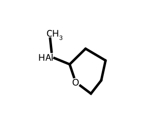 [CH3][AlH][CH]1CCCCO1